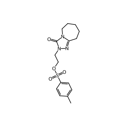 Cc1ccc(S(=O)(=O)OCCn2nc3n(c2=O)CCCCC3)cc1